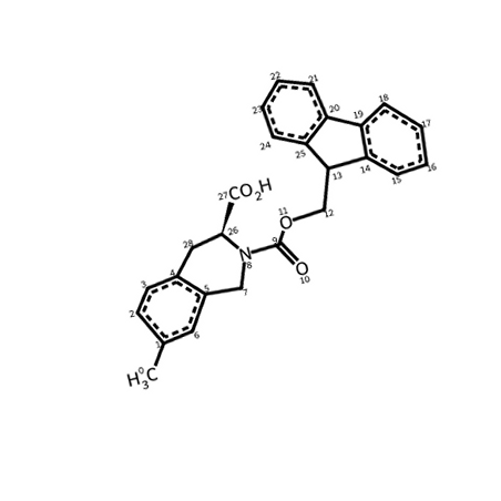 Cc1ccc2c(c1)CN(C(=O)OCC1c3ccccc3-c3ccccc31)[C@H](C(=O)O)C2